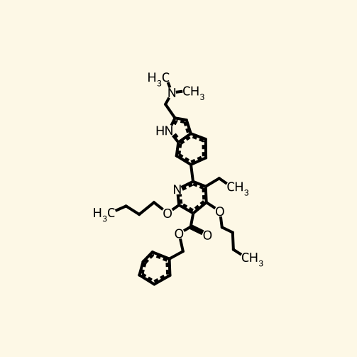 CCCCOc1nc(-c2ccc3cc(CN(C)C)[nH]c3c2)c(CC)c(OCCCC)c1C(=O)OCc1ccccc1